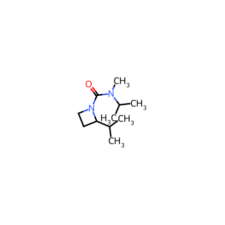 CC(C)C1CCN1C(=O)N(C)C(C)C